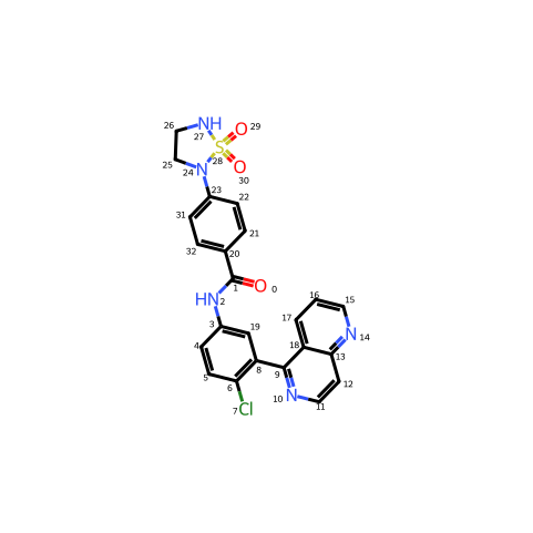 O=C(Nc1ccc(Cl)c(-c2nccc3ncccc23)c1)c1ccc(N2CCNS2(=O)=O)cc1